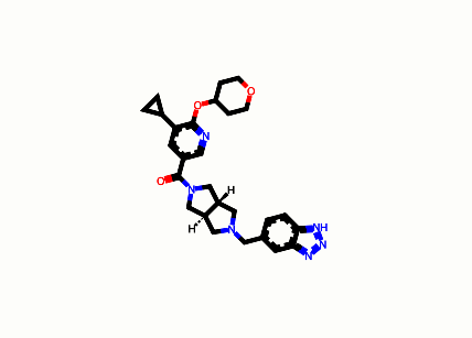 O=C(c1cnc(OC2CCOCC2)c(C2CC2)c1)N1C[C@@H]2CN(Cc3ccc4[nH]nnc4c3)C[C@H]2C1